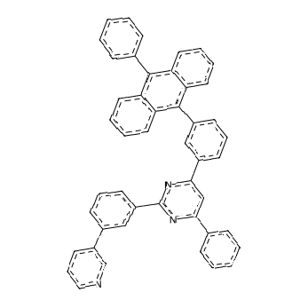 c1ccc(-c2cc(-c3cccc(-c4c5ccccc5c(-c5ccccc5)c5ccccc45)c3)nc(-c3cccc(-c4cccnc4)c3)n2)cc1